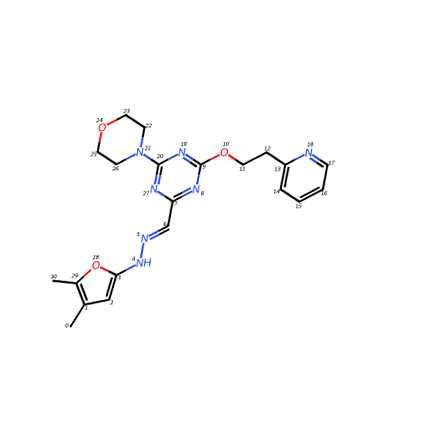 Cc1cc(NN=Cc2nc(OCCc3ccccn3)nc(N3CCOCC3)n2)oc1C